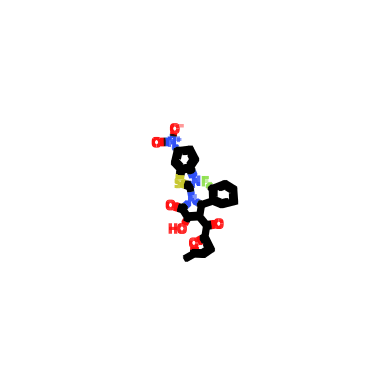 Cc1ccc(C(=O)C2=C(O)C(=O)N(c3nc4ccc([N+](=O)[O-])cc4s3)C2c2ccccc2F)o1